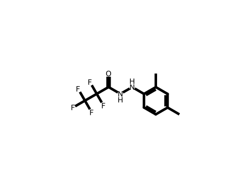 Cc1ccc(NNC(=O)C(F)(F)C(F)(F)F)c(C)c1